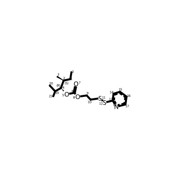 CC[C@H](C)[C@H](OC(=O)OCCSSc1ccccn1)C(C)C